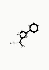 CC(=O)N[C@H](c1nc(-c2ccccc2)c[nH]1)C(C)C